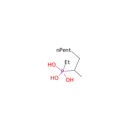 CCCCCCC(C)P(O)(O)(O)CC